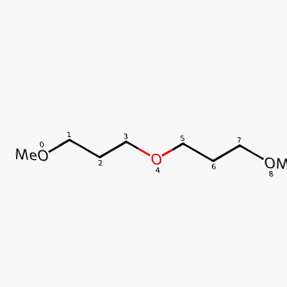 COCCCOCCCOC